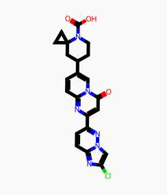 O=C(O)N1CCC(c2ccc3nc(-c4ccc5nc(Cl)cn5n4)cc(=O)n3c2)CC12CC2